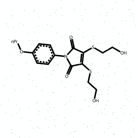 CCCOc1ccc(N2C(=O)C(SCCO)=C(SCCO)C2=O)cc1